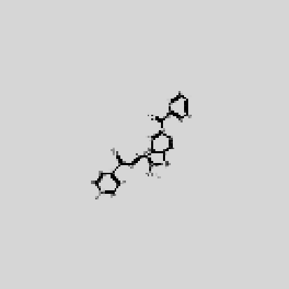 Cc1[nH]c2ccc(C(=O)c3ccccc3)cc2c1C=CC(=O)c1ccncc1